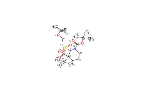 C[SiH](C)OCCS(=O)(=O)C1N(C(=O)OC(C)(C)C)CCCC1(C(=O)O)C(C)(C)C